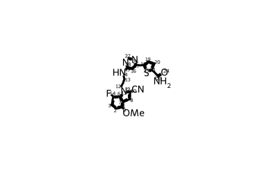 COc1ccc(F)c2c1cc(C#N)n2CCNc1cc(-c2ccc(C(N)=O)s2)ncn1